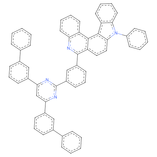 c1ccc(-c2cccc(-c3cc(-c4cccc(-c5ccccc5)c4)nc(-c4cccc(-c5nc6ccccc6c6c5ccc5c6c6ccccc6n5-c5ccccc5)c4)n3)c2)cc1